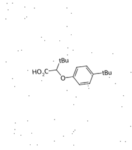 CC(C)(C)c1ccc(OC(C(=O)O)C(C)(C)C)cc1